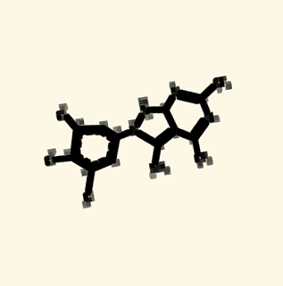 NC1=C2C(C(F)(F)F)=NC(C(F)(F)F)=NC2NN1c1cc(Cl)c(Cl)c(Cl)c1